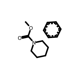 COC(=O)N1CCCCC1.c1ccccc1